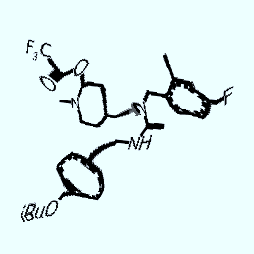 C=C(NCc1ccc(OCC(C)C)cc1)N(Cc1ccc(F)cc1C)C1CCN(C)C(OC(=O)C(F)(F)F)C1